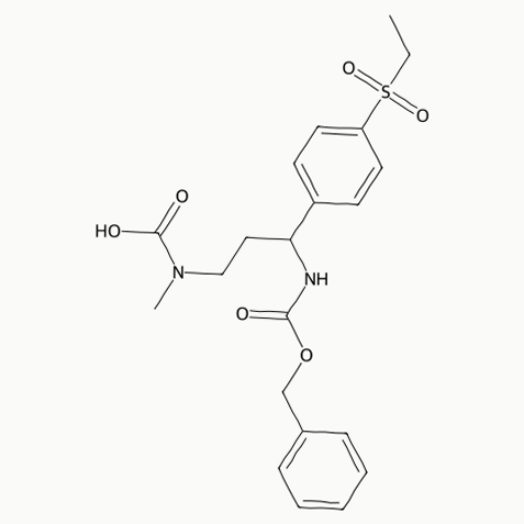 CCS(=O)(=O)c1ccc(C(CCN(C)C(=O)O)NC(=O)OCc2ccccc2)cc1